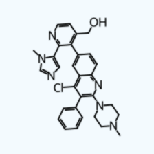 CN1CCN(c2nc3ccc(-c4c(CO)ccnc4-c4cncn4C)cc3c(Cl)c2-c2ccccc2)CC1